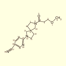 COCCC(=O)N1CCC2(CCN(c3ccc(C#N)cn3)C2)C1